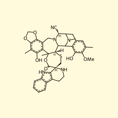 COc1c(C)cc2c(c1O)C1C3[C@@H]4SC[C@]5(NCCc6c5[nH]c5ccccc65)C(=O)OC4(C)c4c(O)c(C)c5c(c4CN3[C@@H](C#N)C(C2)N1C)OCO5